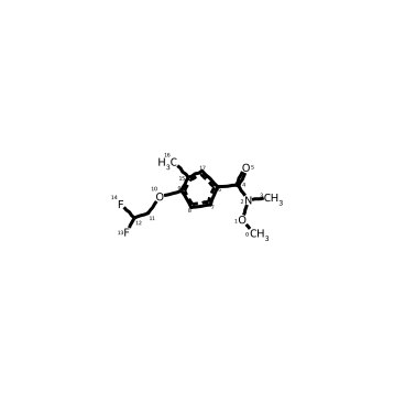 CON(C)C(=O)c1ccc(OCC(F)F)c(C)c1